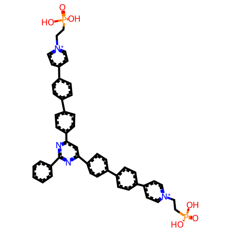 O=P(O)(O)CC[n+]1ccc(-c2ccc(-c3ccc(-c4cc(-c5ccc(-c6ccc(-c7cc[n+](CCP(=O)(O)O)cc7)cc6)cc5)nc(-c5ccccc5)n4)cc3)cc2)cc1